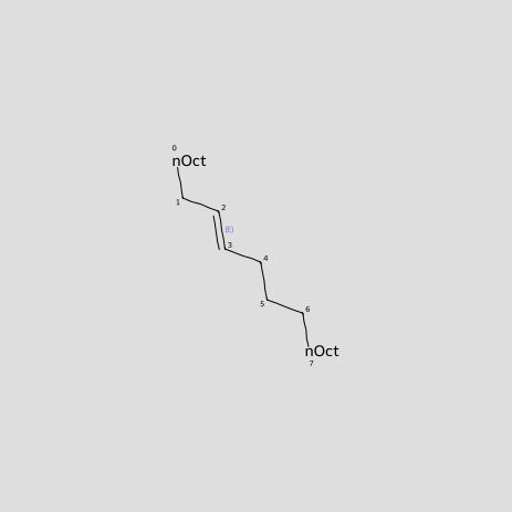 [CH2]CCCCCCCC/C=C/CCCCCCCCCC[CH2]